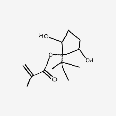 C=C(C)C(=O)OC1(C(C)(C)C)C(O)CCC1O